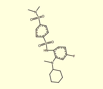 CN(c1cc(F)ccc1NS(=O)(=O)c1ccc(S(=O)(=O)N(C)C)cc1)C1CCCCC1